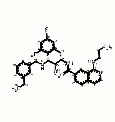 CCCNc1nccc2ccc(C(=O)N[C@@H](Cc3cc(F)cc(F)c3)[C@@H](O)CNCc3cccc(CC)c3)cc12